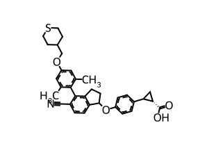 Cc1cc(OCC2CCSCC2)cc(C)c1-c1c(C#N)ccc2c1CCC2Oc1ccc(C2C[C@@H]2C(=O)O)cc1